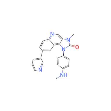 CNc1ccc(-n2c(=O)n(C)c3cnc4ccc(-c5cccnc5)cc4c32)cc1